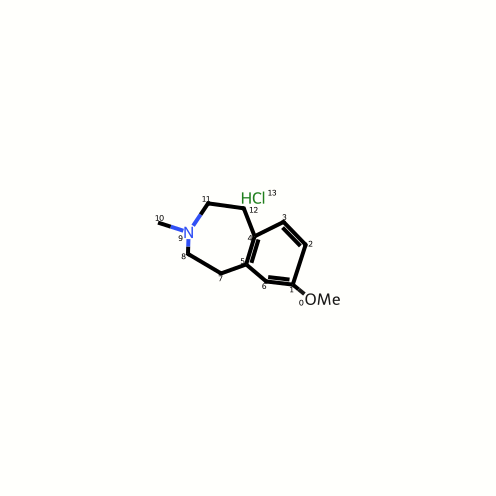 COc1ccc2c(c1)CCN(C)CC2.Cl